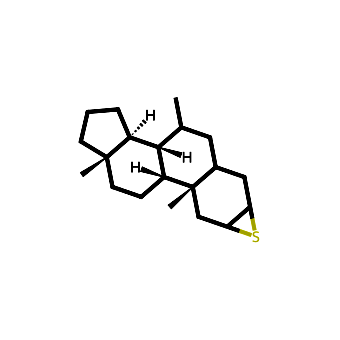 CC1CC2CC3SC3C[C@]2(C)[C@@H]2CC[C@]3(C)CCC[C@H]3[C@H]12